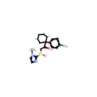 Cn1ccnc1[S+]([O-])CC(=O)C1(c2ccc(Cl)cc2)CCCCC1